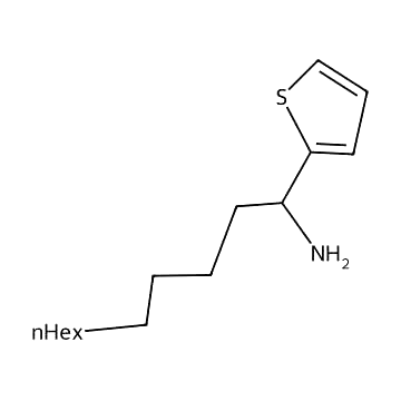 CCCCCCCCCCC(N)c1cccs1